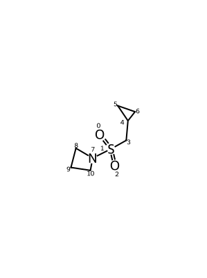 O=S(=O)(CC1CC1)N1CCC1